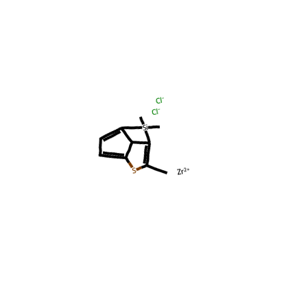 CC1=C2C3C(=CC=C3[Si]2(C)C)S1.[Cl-].[Cl-].[Zr+2]